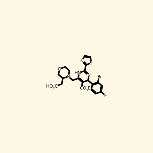 CCOC(=O)C1=C(CN2CCOCC2CC(=O)O)NC(c2nccs2)=NC1c1ccc(F)cc1Br